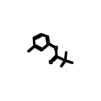 Cc1cccc(OC(=O)C(C)(C)C)c1